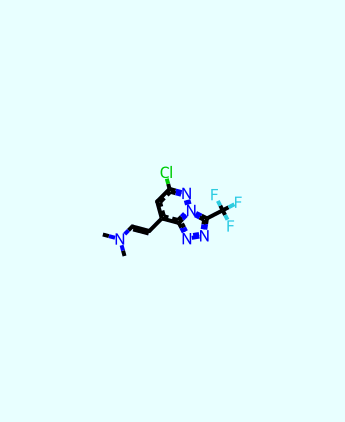 CN(C)C=Cc1cc(Cl)nn2c(C(F)(F)F)nnc12